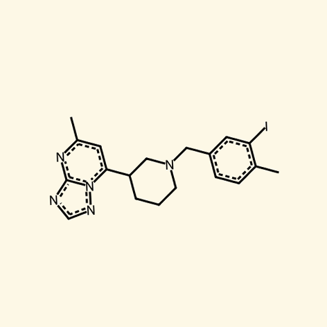 Cc1cc(C2CCCN(Cc3ccc(C)c(I)c3)C2)n2ncnc2n1